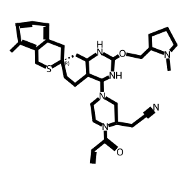 C=CC(=O)N1CCN(C2NC(OCC3CCCN3C)NC3C[C@@]4(CCC32)Cc2cccc(C)c2CS4)CC1CC#N